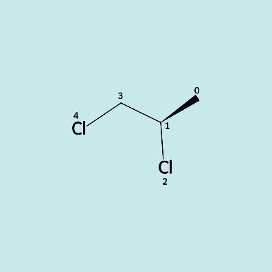 C[C@@H](Cl)CCl